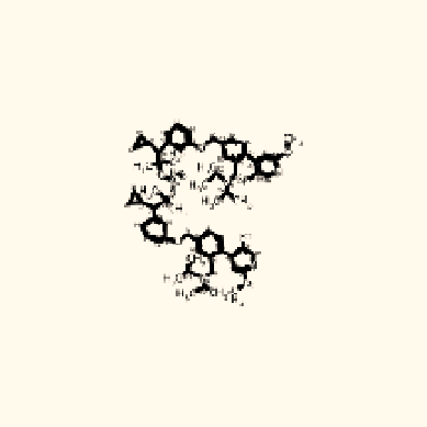 COc1cc(-c2ccc(COc3cccc(C(C4CC4)C(C)(C)O[PH](=O)OC(C)(C)C(c4cccc(OCc5ccc(-c6cc(OC)ncc6F)c(CN(C(C)C)C(C)C)c5)c4)C4CC4)c3)cc2CN(C(C)C)C(C)C)c(F)cn1